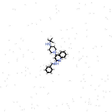 CC(C)(C)NC1CCN(c2cc(NCc3ccccc3)nc3ccccc23)CC1